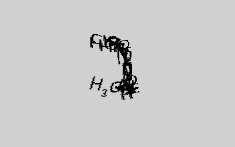 Cc1cc(C(F)(F)F)nn1CC(=O)N1CCC(c2nc(NC(=O)c3cccc(Cl)c3O)cs2)CC1